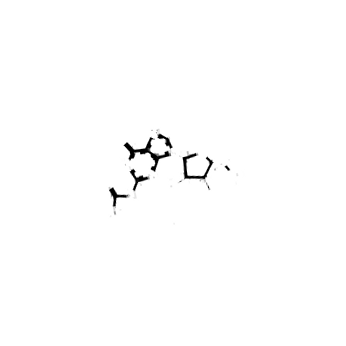 CC(C)C(=O)Nc1nc2c(ncn2[C@@H]2O[C@H](CO)[C@@H](O)[C@H]2O)c(=O)[nH]1.O